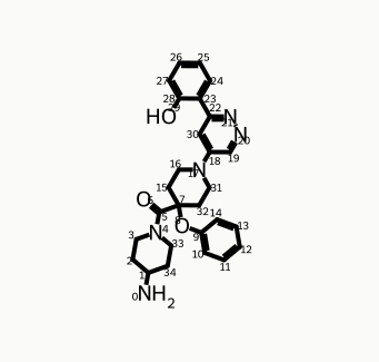 NC1CCN(C(=O)C2(Oc3ccccc3)CCN(c3cnnc(-c4ccccc4O)c3)CC2)CC1